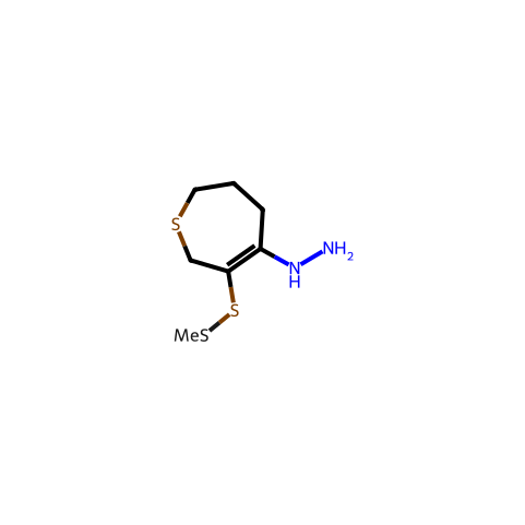 CSSC1=C(NN)CCCSC1